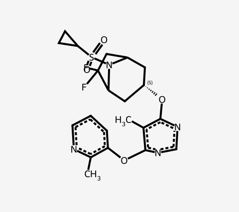 Cc1ncccc1Oc1ncnc(O[C@H]2CC3CC(F)(F)C(C2)N3S(=O)(=O)C2CC2)c1C